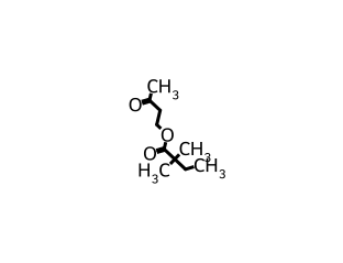 CCC(C)(C)C(=O)OCCC(C)=O